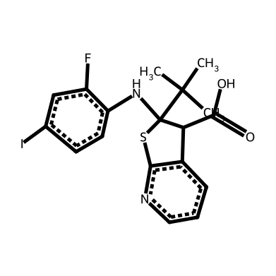 CC(C)(C)C1(Nc2ccc(I)cc2F)Sc2ncccc2C1C(=O)O